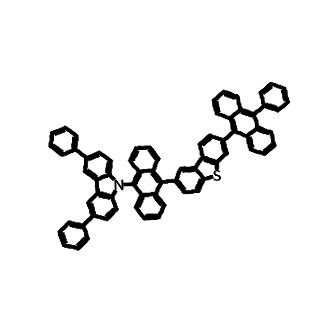 c1ccc(-c2ccc3c(c2)c2cc(-c4ccccc4)ccc2n3-c2c3ccccc3c(-c3ccc4sc5cc(-c6c7ccccc7c(-c7ccccc7)c7ccccc67)ccc5c4c3)c3ccccc23)cc1